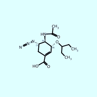 CCC(CC)O[C@@H]1C=C(C(=O)O)C[C@H](N=[N+]=[N-])[C@H]1NC(C)=O